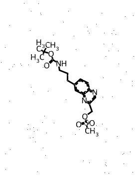 CC(C)(C)OC(=O)NCCCc1ccc2ncc(COS(C)(=O)=O)nc2c1